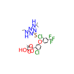 CCNc1nc(NC(C)C)nc(SC)n1.C[C@H](OC(=O)c1cc(Oc2ccc(C(F)(F)F)cc2Cl)ccc1Cl)C(=O)O